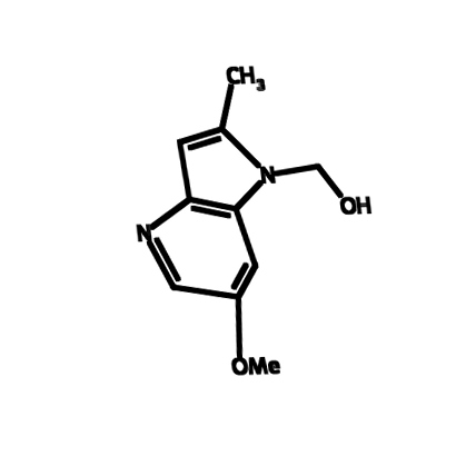 COc1cnc2cc(C)n(CO)c2c1